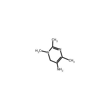 CC1=NC(C)=C(N)CN1C